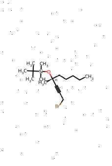 CCCCC[C@](C)(C#CCBr)O[Si](C)(C)C(C)(C)C